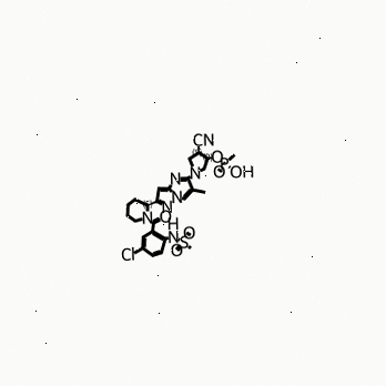 Cc1cn2nc([C@@H]3CCCCN3C(=O)c3cc(Cl)ccc3NS(C)(=O)=O)cc2nc1N1C[C@@H](C#N)[C@@H](OP(C)(=O)O)C1